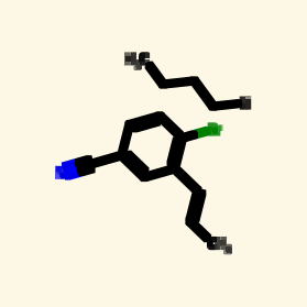 CC=Cc1cc(C#N)ccc1Br.[Li][CH2]CCC